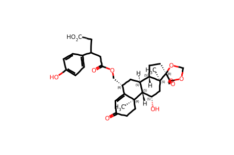 C[C@]12CCC(=O)C=C1[C@H](COC(=O)CC(CC(=O)O)c1ccc(O)cc1)C[C@@H]1[C@@H]2[C@@H](O)C[C@@]2(C)[C@H]1CC[C@@]21OCOC12COCO2